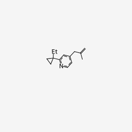 C=C(C)Cc1ccnc(C2(CC)CC2)c1